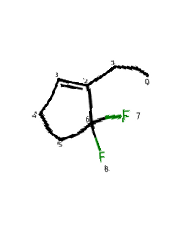 CCC1=CCCC1(F)F